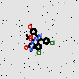 COc1ccc(C2=NC(c3ccc(Cl)cc3)C(c3ccc(Cl)cc3)N2C(=O)N2CCN(C)C(=O)C2)c(OC(C)C)c1